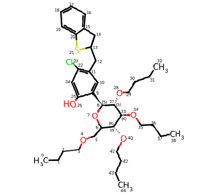 CCCCOCC1O[C@@H](c2cc(CC3Cc4ccccc4S3)c(Cl)cc2O)[C@H](OCCCC)[C@@H](OCCCC)[C@@H]1OCCCC